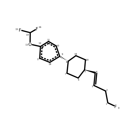 FCCC=C[C@H]1CC[C@H](c2ccc(OC(F)F)cc2)CC1